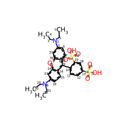 CCN(CC)c1ccc2c(-c3ccc(S(=O)(=O)O)cc3S(=O)(=O)O)c3ccc(N(CC)CC)cc3[o+]c2c1